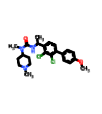 COc1ccc(-c2ccc(C(C)NC(=O)N(C)C3CCN(C)CC3)c(Cl)c2Cl)cc1